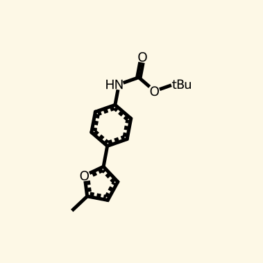 Cc1ccc(-c2ccc(NC(=O)OC(C)(C)C)cc2)o1